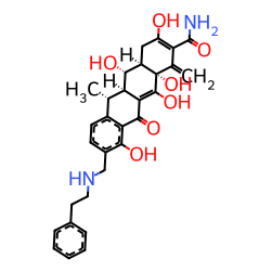 C=C1C(C(N)=O)=C(O)C[C@@H]2[C@@H](O)[C@H]3C(=C(O)[C@]12O)C(=O)c1c(ccc(CNCCc2ccccc2)c1O)[C@@H]3C